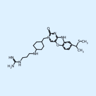 CSC(C)c1ccc2c(c1)Nc1nc(=O)n(CC3CCC(NCCCNC(=N)N)CC3)cc1O2